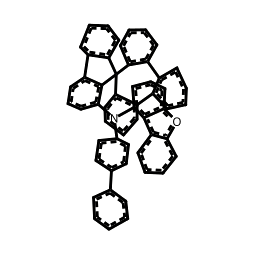 c1ccc(-c2ccc(N(c3cccc4c3C3(c5ccccc5-c5ccccc5-c5ccccc53)c3ccccc3-4)c3cccc4oc5ccccc5c34)cc2)cc1